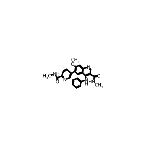 CNC(=O)c1ccc(-c2cc3c(Nc4ccccc4)c(C(=O)NC)cnc3cc2OC)cn1